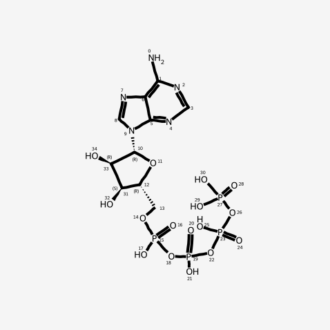 Nc1ncnc2c1ncn2[C@@H]1O[C@H](COP(=O)(O)OP(=O)(O)OP(=O)(O)OP(=O)(O)O)[C@@H](O)[C@H]1O